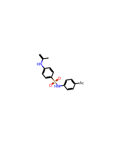 C=C(C)Nc1ccc(S(=O)(=O)Nc2ccc(C(C)=O)cc2)cc1